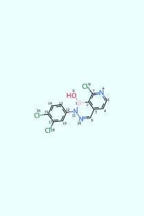 OB1c2c(ccnc2Cl)C=NN1c1ccc(Cl)c(Cl)c1